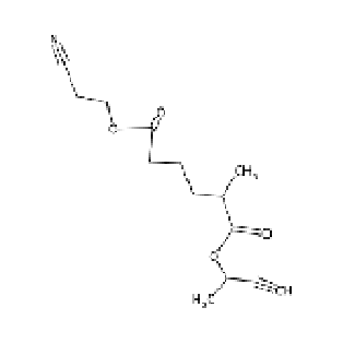 C#CC(C)OC(=O)C(C)CCCC(=O)OCCC#N